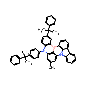 Cc1cc2c3c(c1)-n1c4ccccc4c4cccc(c41)B3c1cc(C(C)(C)c3ccccc3)ccc1N2c1ccc(C(C)(C)c2ccccc2)cc1